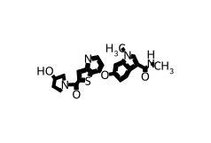 CNC(=O)c1cn(C)c2cc(Oc3ccnc4cc(C(=O)N5CCC(O)C5)sc34)ccc12